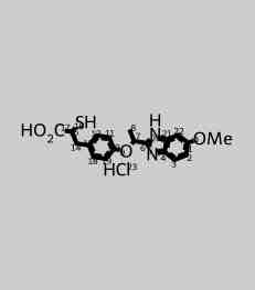 COc1ccc2nc(C(C)Oc3ccc(CC(S)C(=O)O)cc3)[nH]c2c1.Cl